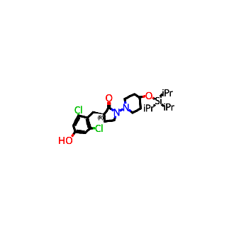 CC(C)[Si](OC1CCN(N2CC[C@@H](Cc3c(Cl)cc(O)cc3Cl)C2=O)CC1)(C(C)C)C(C)C